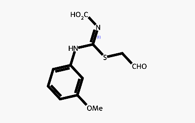 COc1cccc(N/C(=N\C(=O)O)SCC=O)c1